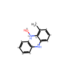 Cc1cccc(Nc2ccccc2)c1NO